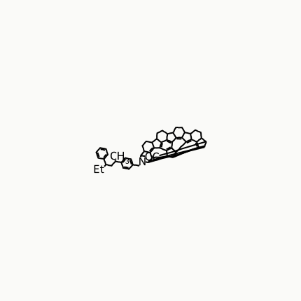 CCC(CC(C)c1ccc(CN2C3=C4c5c6c7c8c9c%10c%11c%12c%13c%14c%15c%11c8c5C%15C3C3=C%14C5CCC3C2CCC4C6CCC7C9CCC%10C%12CCC%135)cc1)c1ccccc1